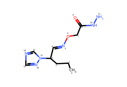 CCCC(C=NOCC(=O)NN)n1cncn1